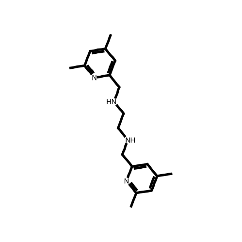 Cc1cc(C)nc(CNCCNCc2cc(C)cc(C)n2)c1